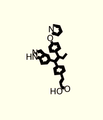 CCC(=C(c1ccc(C=CC(=O)O)cc1)c1ccc2[nH]ncc2c1)c1ccc(Oc2ccccn2)cc1